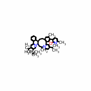 C=C1CC2C(CCc3cc(C)c4c(oc5nc(C)ccc54)c3-c3cc(C(C)C)cc[n+]31)c1ccccc1-c1cc(C(C)C)c([Si](C)(C)C)c[n+]12